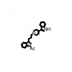 CC(=O)N1CC(CCCN2CC=C(c3c[nH]c4ccccc34)CC2)c2ccccc21